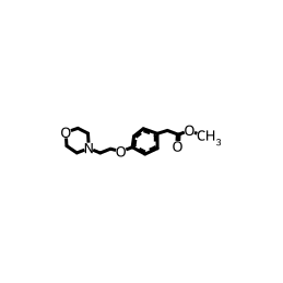 COC(=O)Cc1ccc(OCCN2CCOCC2)cc1